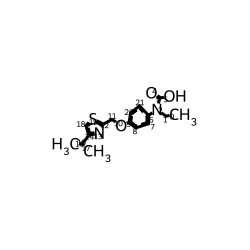 CCN(C(=O)O)c1ccc(OCc2nc(C(C)C)cs2)cc1